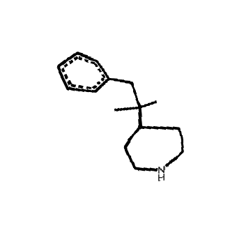 CC(C)(Cc1ccccc1)C1CCNCC1